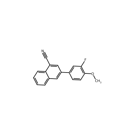 COc1ccc(-c2cc(C#N)c3ccccc3c2)cc1F